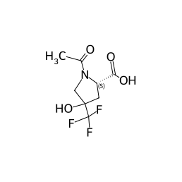 CC(=O)N1CC(O)(C(F)(F)F)C[C@H]1C(=O)O